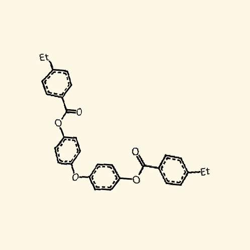 CCc1ccc(C(=O)Oc2ccc(Oc3ccc(OC(=O)c4ccc(CC)cc4)cc3)cc2)cc1